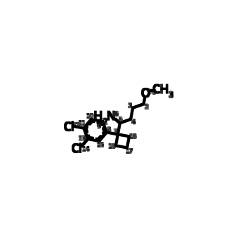 COCCCC(N)C1(c2ccc(Cl)c(Cl)c2)CCC1